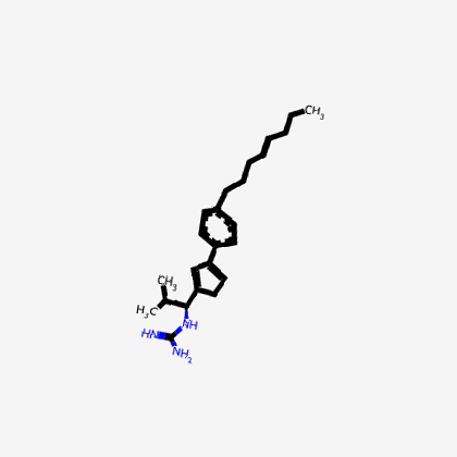 CCCCCCCCc1ccc(C2=CCC([C@@H](NC(=N)N)C(C)C)=C2)cc1